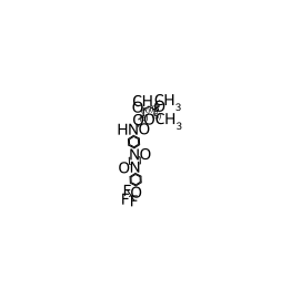 CO[C@@H]1C[C@@H](OC)[C@H](C)O[C@H]1OC(=O)Nc1ccc(N2CC(=O)N(c3ccc(OC(F)(F)F)cc3)CC2=O)cc1